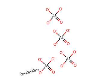 O=[As]([O-])([O-])[O-].O=[As]([O-])([O-])[O-].O=[As]([O-])([O-])[O-].O=[As]([O-])([O-])[O-].[Re+4].[Re+4].[Re+4]